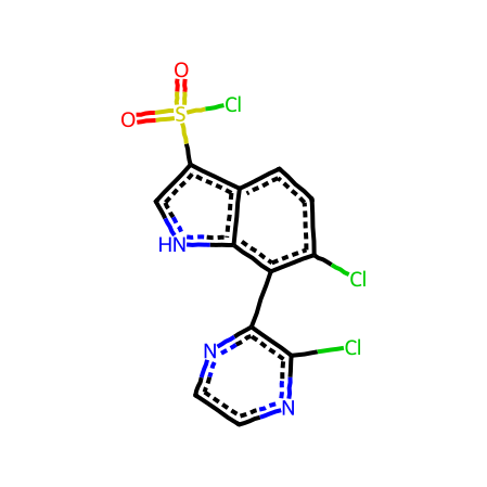 O=S(=O)(Cl)c1c[nH]c2c(-c3nccnc3Cl)c(Cl)ccc12